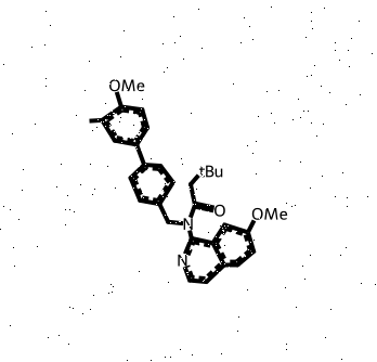 COc1ccc2ccnc(N(Cc3ccc(-c4ccc(OC)c(C)c4)cc3)C(=O)CC(C)(C)C)c2c1